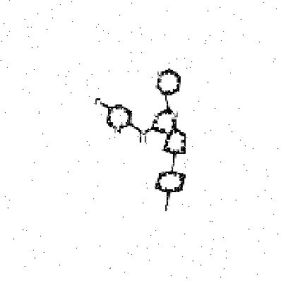 Fc1ccc(-c2ccc3nc(-c4cccnc4)nc(Nc4ccc(F)cn4)c3c2)cc1